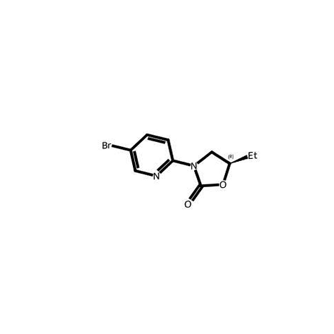 CC[C@@H]1CN(c2ccc(Br)cn2)C(=O)O1